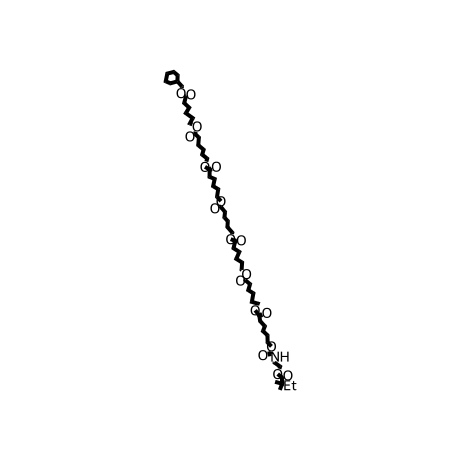 CCC(C)(C)C(=O)OCCNC(=O)OCCCCCC(=O)OCCCCCC(=O)OCCCCCC(=O)OCCCCCC(=O)OCCCCCC(=O)OCCCCCC(=O)OCCCCCC(=O)OCC1CCCCC1